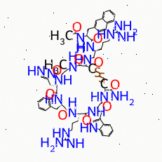 CC(=O)N[C@@H](Cc1ccc2ccccc2c1)C(=O)N[C@@H](CCCNC(=N)N)C(=O)N[C@H]1CSSC[C@@H](C(N)=O)NC(=O)[C@H](Cc2c[nH]c3ccccc23)NC(=O)[C@H](CCCNC(=N)N)NC(=O)[C@@H](Cc2ccccc2)NC(=O)[C@H](Cc2c[nH]cn2)NC(=O)[C@@H](C)NC1=O